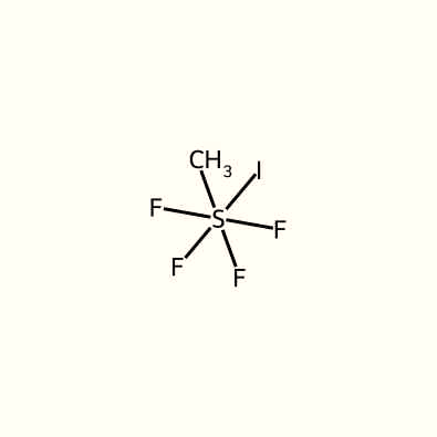 CS(F)(F)(F)(F)I